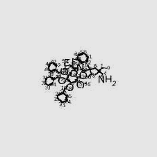 CCC(C)(CN)CC(C)(CC)COCC(OC)C(OCc1ccccc1)C(OCc1ccccc1)C(OCc1ccccc1)OC(=Nc1ccccc1)C(F)(F)F